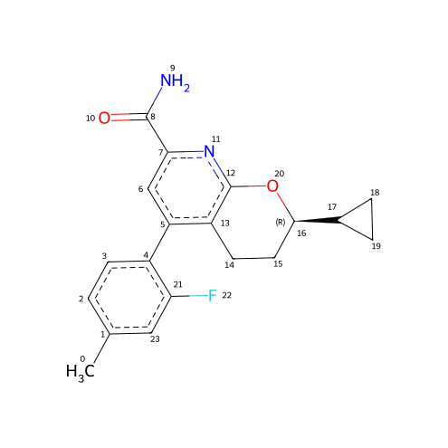 Cc1ccc(-c2cc(C(N)=O)nc3c2CC[C@H](C2CC2)O3)c(F)c1